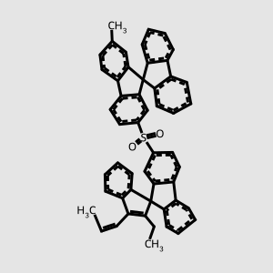 C/C=C\C1=C(CC)C2(c3ccccc31)c1ccccc1-c1ccc(S(=O)(=O)c3ccc4c(c3)C3(c5ccccc5-c5ccccc53)c3cc(C)ccc3-4)cc12